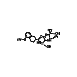 CCCOc1cccc2c1CCC(C(=O)N[C@@H](CO)C(=O)NC(CC(C)C)C(=O)C1(CO)CO1)C2